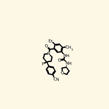 CCc1cc(C)c(NC(=O)N[C@@H]2CCOC2)cc1C(=O)N1CCC(F)(c2ccc(C#N)cc2)CC1